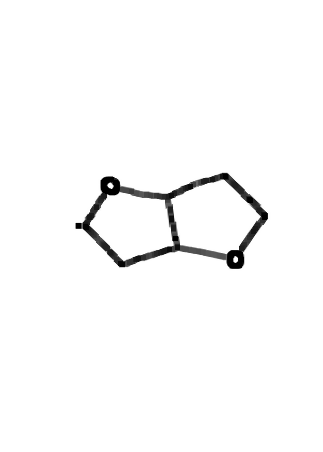 [CH]1CC2OCCC2O1